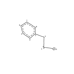 ClSCc1ccccc1